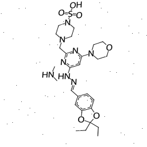 CCC1(CC)Oc2ccc(C=NNc3cc(N4CCOCC4)nc(CN4CCN(S(=O)(=O)O)CC4)n3)cc2O1.CNC